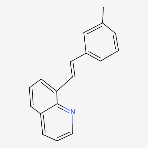 Cc1cccc(C=Cc2cccc3cccnc23)c1